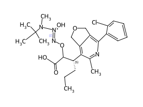 CCC[C@@H](c1c(C)nc(-c2ccccc2Cl)c2c1COC2)C(O/N=[N+](\O)N(C)C(C)(C)C)C(=O)O